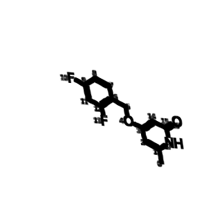 Cc1cc(OCc2ccc(F)cc2F)cc(=O)[nH]1